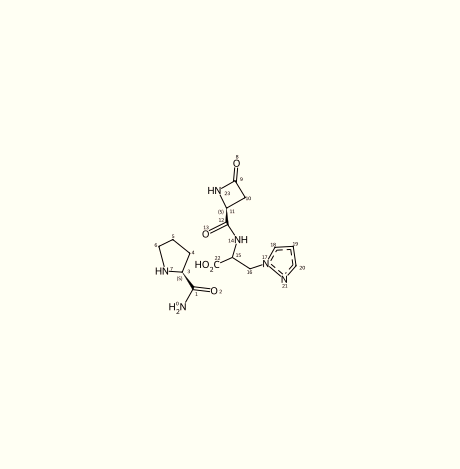 NC(=O)[C@@H]1CCCN1.O=C1C[C@@H](C(=O)NC(Cn2cccn2)C(=O)O)N1